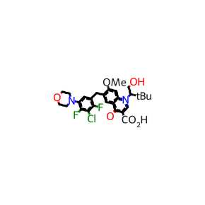 COc1cc2c(cc1Cc1cc(N3CCOCC3)c(F)c(Cl)c1F)c(=O)c(C(=O)O)cn2C(CO)C(C)(C)C